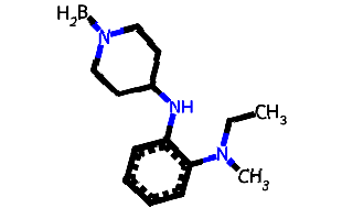 BN1CCC(Nc2ccccc2N(C)CC)CC1